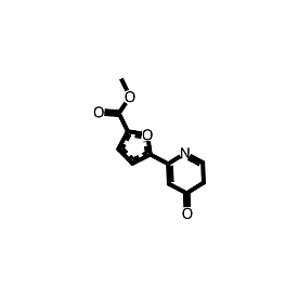 COC(=O)c1ccc(C2=CC(=O)CC=N2)o1